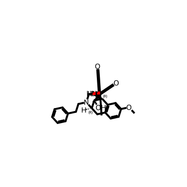 COc1ccc2c(c1)[C@]13CCN(CCc4ccccc4)[C@H](C2)[C@]1(O)CCCNC(=O)NC(=O)C3